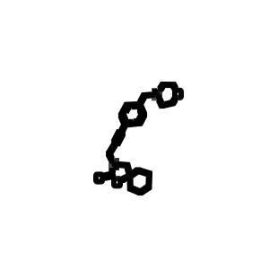 O=C1OC2(CCCCC2)CN1CC#Cc1ccc(CN2CCOCC2)cc1